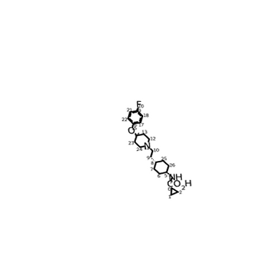 C1CC1.O=C(O)N[C@H]1CC[C@H](CCN2CCC(Oc3ccc(F)cc3)CC2)CC1